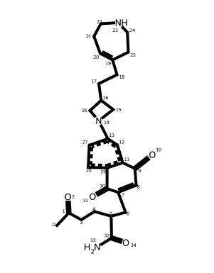 CC(=O)CCC(CC1=CC(=O)c2cc(N3CC(CCC4=CCCNCC4)C3)ccc2C1=O)C(N)=O